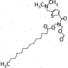 CCCCCCCCCCCCCC(=O)OCN(COC=O)C(=O)c1ccc(CN(C)C)s1